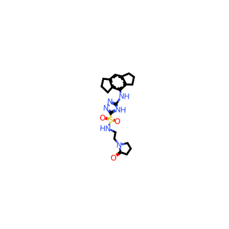 O=C1CCCN1CCNS(=O)(=O)c1nnc(Nc2c3c(cc4c2CCC4)CCC3)[nH]1